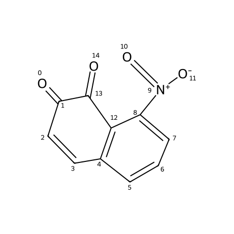 O=C1C=Cc2cccc([N+](=O)[O-])c2C1=O